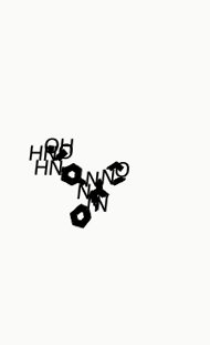 O=C(NO)Nc1ccc(-c2nc(N3CCOCC3)c3cnn(-c4ccccc4)c3n2)cc1